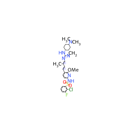 C=N\C(=N/C=C(C)/C=C/c1ccc(NS(=O)(=O)c2cccc(F)c2Cl)nc1OC)N[C@H]1CC[C@H](N(C)C)CC1